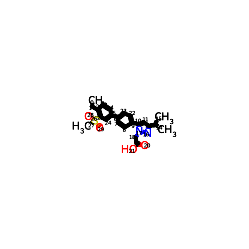 CCc1ccc(-c2ccc(-c3cc(C(C)C)nn3CC(=O)O)cc2)cc1S(C)(=O)=O